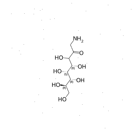 NCC(=O)C(O)[C@H](O)[C@@H](O)[C@H](O)[C@H](O)CO